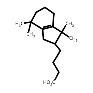 CC1(C)CCCC2=C1CC(CCCC(=O)O)C2(C)C